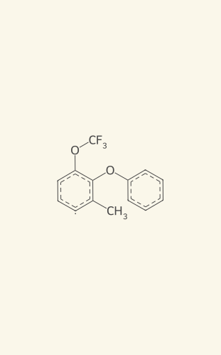 Cc1[c]ccc(OC(F)(F)F)c1Oc1ccccc1